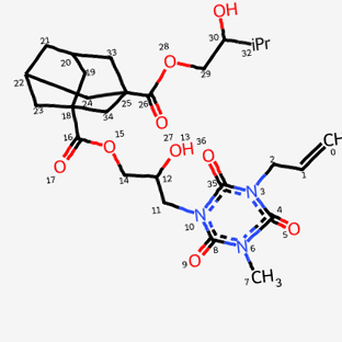 C=CCn1c(=O)n(C)c(=O)n(CC(O)COC(=O)C23CC4CC(C2)CC(C(=O)OCC(O)C(C)C)(C4)C3)c1=O